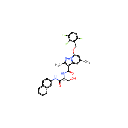 Cc1cc(OCc2c(F)ccc(F)c2F)n2nc(C)c(C(=O)N[C@@H](CO)C(=O)Nc3ccc4ccccc4c3)c2c1